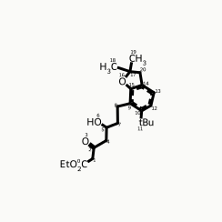 CCOC(=O)CC(=O)CC(O)CCc1c(C(C)(C)C)ccc2c1OC(C)(C)C2